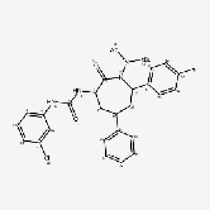 CC(=O)N(N1C(=O)C(NC(=O)Nc2cccc(Cl)c2)CC(c2ccccc2)CC1c1ccc(C)cc1)C(C)(C)C